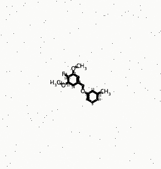 COC1C=C(COC2=CCCC(C)C2)CC(OC)C1F